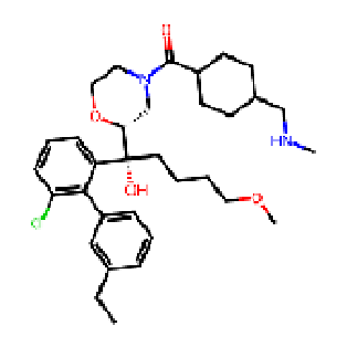 CCc1cccc(-c2c(Cl)cccc2[C@](O)(CCCCOC)[C@H]2CN(C(=O)C3CCC(CNC)CC3)CCO2)c1